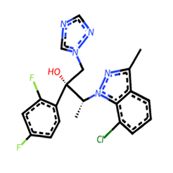 Cc1nn([C@H](C)[C@](O)(Cn2cncn2)c2ccc(F)cc2F)c2c(Cl)cccc12